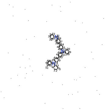 Cc1cccc(N(c2ccc(-c3ccc(N(c4ccccc4)c4ccc(-c5ccc(N(C)c6ccccc6)cc5)cc4)cc3)cc2)c2cccc(C)c2)c1